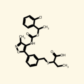 CCC(SCc1cccc(-c2onc(C)c2NC(=O)OC(C)c2ccccc2Cl)c1)C(=O)O